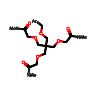 CNC(=O)COCC(COCC(C)=O)(COCC(=O)NC)COCC(=O)NC